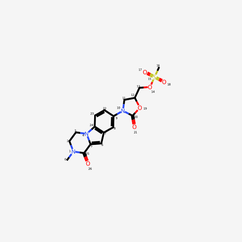 CN1CCn2c(cc3cc(N4CC(COS(C)(=O)=O)OC4=O)ccc32)C1=O